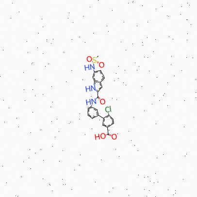 CS(=O)(=O)Nc1ccc2cc(C(=O)Nc3cccc(-c4cc(C(=O)O)ccc4Cl)c3)[nH]c2c1